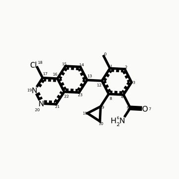 Cc1ccc(C(N)=O)c(C2CC2)c1-c1ccc2c(Cl)nncc2c1